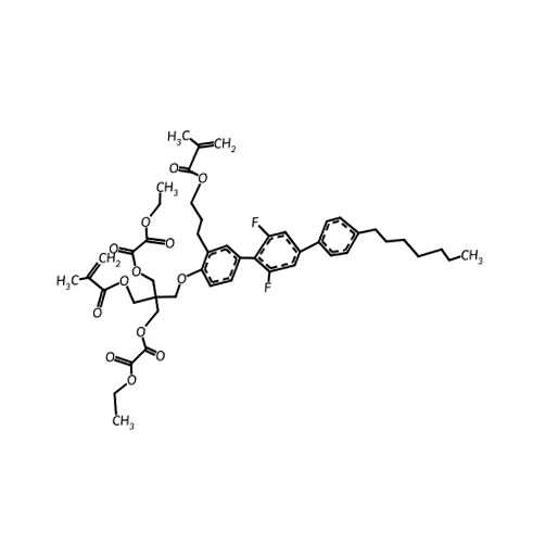 C=C(C)C(=O)OCCCc1cc(-c2c(F)cc(-c3ccc(CCCCCCC)cc3)cc2F)ccc1OCC(COC(=O)C(=C)C)(COC(=O)C(=O)OCC)COC(=O)C(=O)OCC